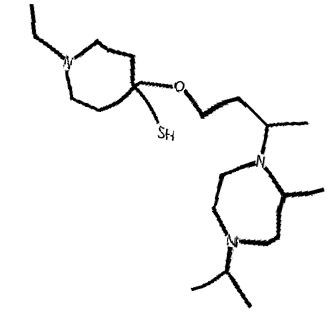 CCN1CCC(S)(OCCC(C)N2CCN(C(C)C)CC2C)CC1